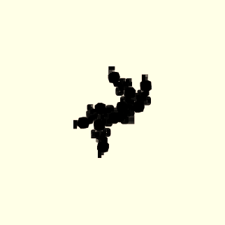 O=C(Oc1cc2c(cc1OC(=O)c1cccc(N3C(=O)/C(=C/c4ccc(F)cc4)SC3=S)c1)[C@@H]1c3ccc(OC(=O)c4cccc(N5C(=O)/C(=C/c6ccc(F)cc6)SC5=S)c4)c(OC(=O)c4cccc(N5C(=O)S/C(=C\c6ccc(F)cc6)C5=O)c4)c3OC[C@]1(O)C2)c1cccc(N2C(=O)/C(=C/c3ccc(F)cc3)SC2=S)c1